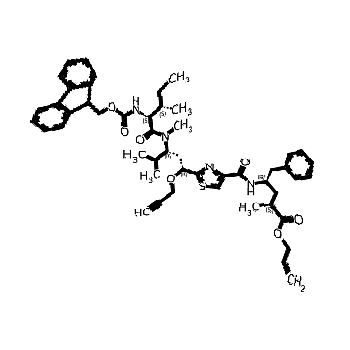 C#CCO[C@H](C[C@H](C(C)C)N(C)C(=O)[C@@H](NC(=O)OCC1c2ccccc2-c2ccccc21)[C@@H](C)CC)c1nc(C(=O)N[C@@H](Cc2ccccc2)C[C@H](C)C(=O)OCC=C)cs1